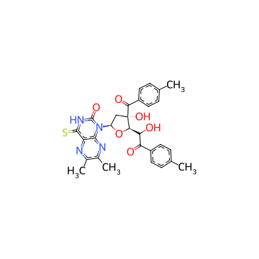 Cc1ccc(C(=O)C(O)[C@H]2O[C@@H](n3c(=O)[nH]c(=S)c4nc(C)c(C)nc43)C[C@@]2(O)C(=O)c2ccc(C)cc2)cc1